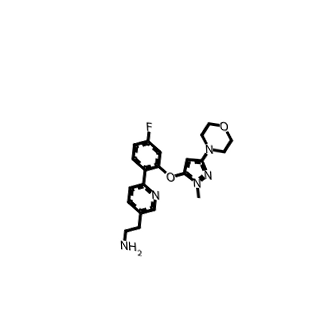 Cn1nc(N2CCOCC2)cc1Oc1cc(F)ccc1-c1ccc(CCN)cn1